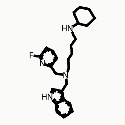 Fc1cccc(CN(CCCCCNC2CCCCC2)Cc2c[nH]c3ccccc23)n1